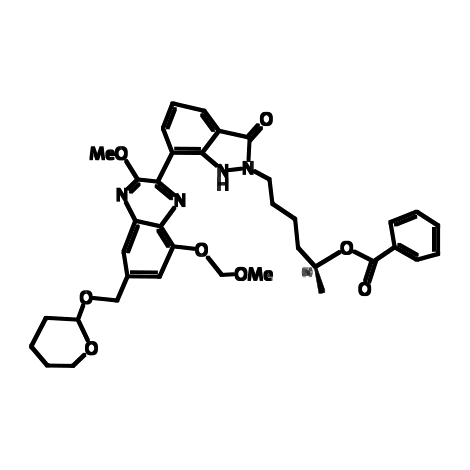 COCOc1cc(COC2CCCCO2)cc2nc(OC)c(-c3cccc4c(=O)n(CCCC[C@H](C)OC(=O)c5ccccc5)[nH]c34)nc12